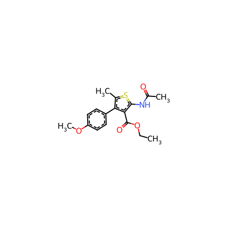 CCOC(=O)c1c(NC(C)=O)sc(C)c1-c1ccc(OC)cc1